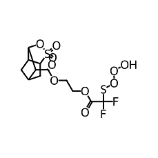 O=C(OCCOC(=O)C(F)(F)SOOO)C1C2CC3C1OS(=O)(=O)C3C2